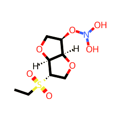 CCS(=O)(=O)[C@H]1CO[C@H]2[C@@H]1OC[C@H]2ON(O)O